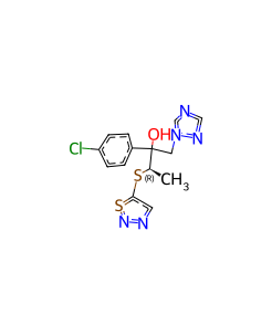 C[C@@H](Sc1cnns1)C(O)(Cn1cncn1)c1ccc(Cl)cc1